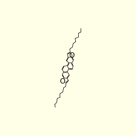 CCCCCCCCCc1cc2cc3c(ccc4c5cc6cc(CCCCCCCCC)oc6cc5ccc34)cc2o1